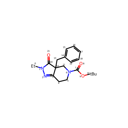 CCN1N=C2CCN(C(=O)OC(C)(C)C)CC2(Cc2ccccc2)C1=O